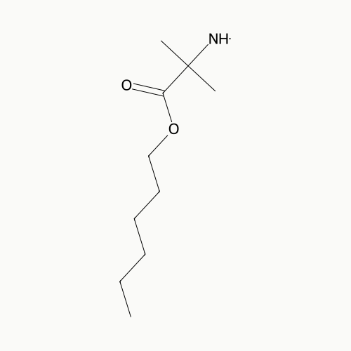 CCCCCCOC(=O)C(C)(C)[NH]